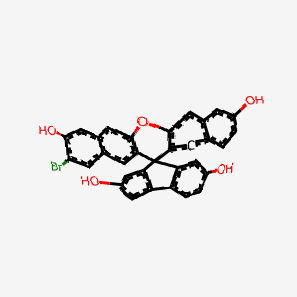 Oc1ccc2c(c1)C1(c3cc4ccc(O)cc4cc3Oc3cc4cc(O)c(Br)cc4cc31)c1cc(O)ccc1-2